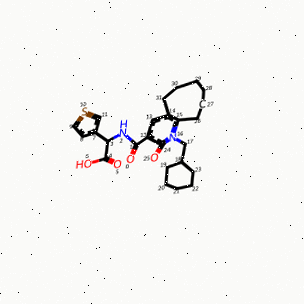 O=C(NC(C(=O)O)c1ccsc1)c1cc2c(n(CC3CCCCC3)c1=O)CCCCCC2